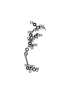 CC1(C)CCC(CNCCNc2ccc(C(=O)NS(=O)(=O)c3ccc(NC[C@H]4CC[C@H](N5CCN(CCCCCCCNc6cccc7c6C(=O)N(C6CCC(=O)NC6=O)C7=O)CC5)CC4)c(NO)c3)c(Oc3cnc4[nH]ccc4c3)c2)=C(c2ccc(Cl)cc2)C1